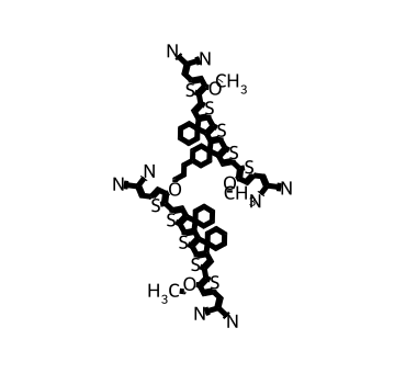 CCOc1cc(C=C(C#N)C#N)sc1-c1cc2c(s1)-c1sc3c(c1C21CCCCC1)C1(CCCCC1)c1cc(-c2sc(C=C(C#N)C#N)cc2OCCCC2CCC4(CC2)c2cc(-c5sc(C=C(C#N)C#N)cc5OC)sc2-c2sc5c(c24)C2(CCCCC2)c2cc(-c4sc(C=C(C#N)C#N)cc4OC)sc2-5)sc1-3